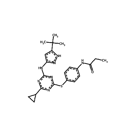 CCC(=O)Nc1ccc(Sc2nc(Nc3cc(C(C)(C)C)[nH]n3)nc(C3CC3)n2)cc1